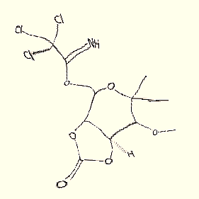 COC1[C@H]2OC(=O)OC2C(OC(=N)C(Cl)(Cl)Cl)OC1(C)C